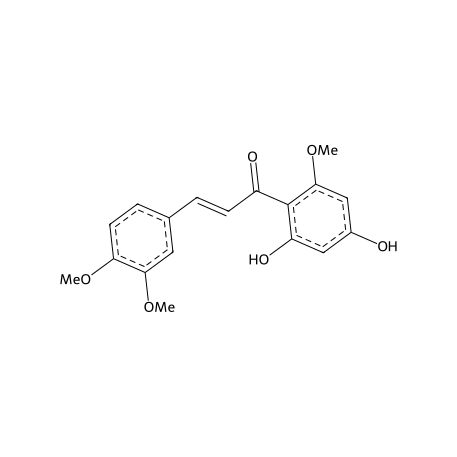 COc1ccc(C=CC(=O)c2c(O)cc(O)cc2OC)cc1OC